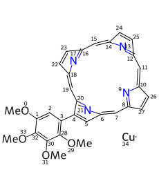 COc1cc(C2=CC3=CC4=NC(=CC5=NC(=CC6=NC(=CC2=N3)C=C6)C=C5)C=C4)c(OC)c(OC)c1OC.[Cu]